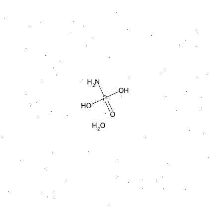 NP(=O)(O)O.O